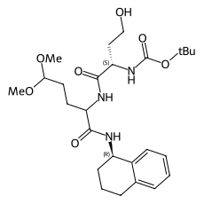 COC(CCC(NC(=O)[C@H](CCO)NC(=O)OC(C)(C)C)C(=O)N[C@@H]1CCCc2ccccc21)OC